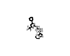 O=C(Nc1nc(-c2ccccc2)cc(C(F)(F)F)n1)NS(=O)(=O)c1cnn2c1OCCC2